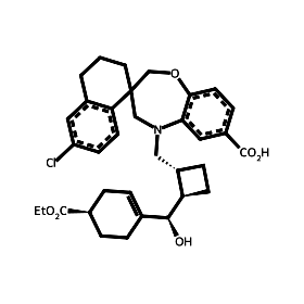 CCOC(=O)[C@H]1CC=C([C@H](O)[C@@H]2CC[C@H]2CN2CC3(CCCc4cc(Cl)ccc43)COc3ccc(C(=O)O)cc32)CC1